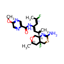 C=C(/C=C(\C=C(/C)F)NC(=O)c1cnc(OC)cn1)[C@]12CO[C@@H](C)C[C@@]1(F)CSC(N)=N2